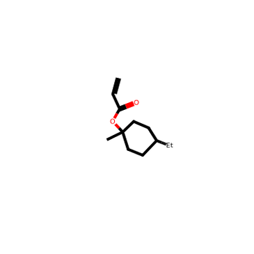 C=CC(=O)OC1(C)CCC(CC)CC1